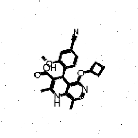 COc1cc(C#N)ccc1C1C(C(=O)O)=C(C)Nc2c(C)cnc(OC3CCC3)c21